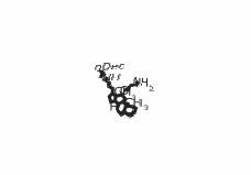 CCCCCCCCCCCCCNCCCCC1CCC2[C@@H]3CCC4CCCCC4(C)C3C[C@H](OCCCN)C12C